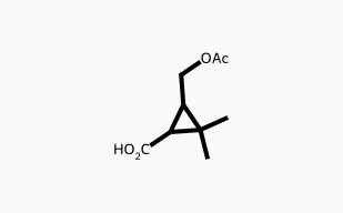 CC(=O)OCC1C(C(=O)O)C1(C)C